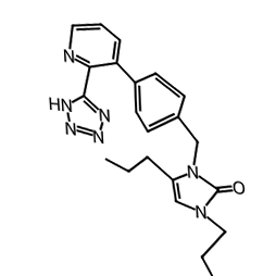 CCCc1cn(CCC)c(=O)n1Cc1ccc(-c2cccnc2-c2nnn[nH]2)cc1